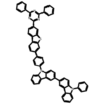 c1ccc(-c2nc(-c3ccccc3)nc(-c3ccc4c(c3)sc3cc(-c5ccc(-n6c7ccccc7c7cc(-c8ccc9c(c8)c8ccccc8n9-c8ccccc8)ccc76)cc5)ccc34)n2)cc1